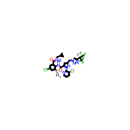 Cc1cc(Cl)cc(C(=O)NCC2CC2)c1NC(=O)c1cc(Cn2cc(C(F)(C(F)(F)F)C(F)(F)F)nn2)nn1-c1ncccc1Cl